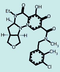 CCN1C(=O)c2c(O)c(=O)c(C(=O)N(C)Cc3cccc(Cl)c3C)cn2N2[C@H]3COC[C@H]3C[C@@H]12